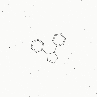 c1ccc([C]2CCCC2c2ccccc2)cc1